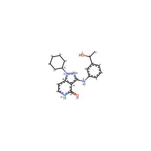 CC(O)c1cccc(Nc2nn(C3CCCCC3)c3cc[nH]c(=O)c23)c1